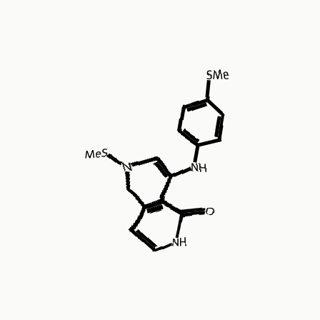 CSc1ccc(NC2=CN(SC)Cc3cc[nH]c(=O)c32)cc1